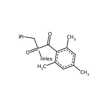 CCCCCCP(=O)(CC(C)C)C(=O)c1c(C)cc(C)cc1C